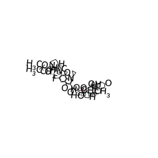 COc1c(N2C[C@@H]3CCCN(C(=O)OC(C)(C)C)[C@@H]3C2)c(F)cc2c(=O)c(C(=O)OCC(=O)[C@]3(O)CC[C@@H]4[C@H]5CCC6=CC(=O)C=C[C@@]6(C)[C@@H]5[C@H](O)C[C@]43C)cn(C3CC3)c12